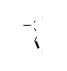 C=COP(O)Cl